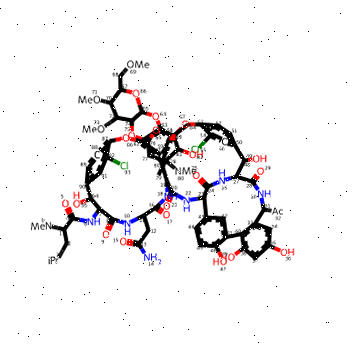 CNC(CC(C)C)C(=O)NC1C(=O)NC(CC(N)=O)C(=O)NC2C(=O)NC3C(=O)NC(C(=O)NC(C(C)=O)c4cc(O)cc(O)c4-c4cc3ccc4O)C(O)c3ccc(c(Cl)c3)Oc3cc2cc(c3OC2OC(COC)C(OC)C(OC)C2OC2CC(C)(NC)C(O)C(C)O2)Oc2ccc(cc2Cl)C1O